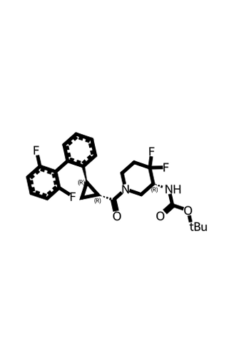 CC(C)(C)OC(=O)N[C@@H]1CN(C(=O)[C@@H]2C[C@H]2c2ccccc2-c2c(F)cccc2F)CCC1(F)F